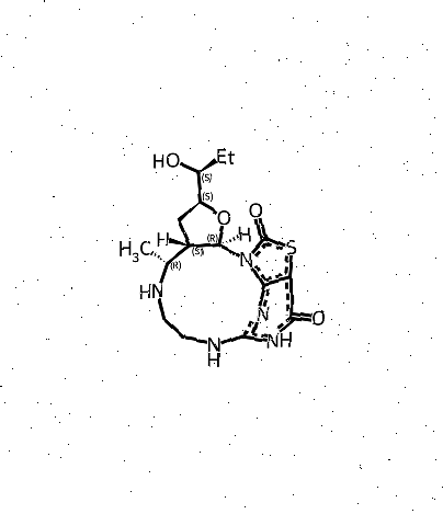 CC[C@H](O)[C@@H]1C[C@@H]2[C@@H](O1)n1c(=O)sc3c(=O)[nH]c(nc31)NCCN[C@@H]2C